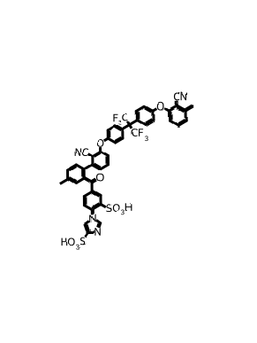 Cc1ccc(-c2cccc(Oc3ccc(C(c4ccc(Oc5cccc(C)c5C#N)cc4)(C(F)(F)F)C(F)(F)F)cc3)c2C#N)c(C(=O)c2ccc(-n3cnc(S(=O)(=O)O)c3)c(S(=O)(=O)O)c2)c1